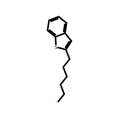 [CH2]CCCCCc1cc2ccccc2s1